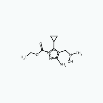 CCOC(=O)n1nc(N)c(CN(C)O)c1C1CC1